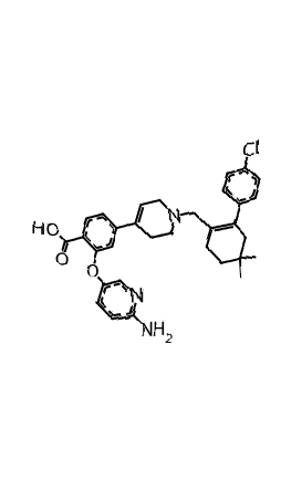 CC1(C)CCC(CN2CC=C(c3ccc(C(=O)O)c(Oc4ccc(N)nc4)c3)CC2)=C(c2ccc(Cl)cc2)C1